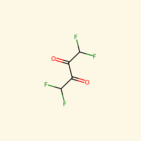 O=C(C(=O)C(F)F)C(F)F